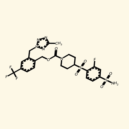 Cc1nnn(Cc2cc(C(F)(F)F)ccc2COC(=O)N2CCC(S(=O)(=O)c3ccc(S(N)(=O)=O)cc3F)CC2)n1